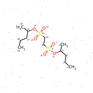 CCCC(C)OS(=O)(=O)CCS(=O)(=O)OC(C)CCC